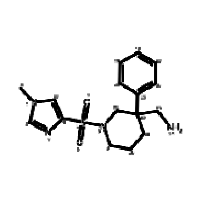 Cn1cnc(S(=O)(=O)N2CCCC(CN)(c3ccccc3)C2)c1